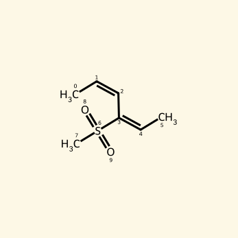 C/C=C\C(=C/C)S(C)(=O)=O